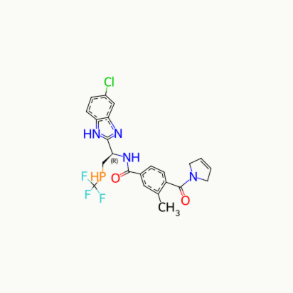 Cc1cc(C(=O)N[C@@H](CPC(F)(F)F)c2nc3cc(Cl)ccc3[nH]2)ccc1C(=O)N1CC=CC1